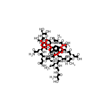 CSCC[C@H](NC(=O)CNC(=O)[C@@H](N)CO)C(=O)N[C@@H](CCC(=O)O)C(=O)N[C@@H](C)C(=O)N[C@@H](CCC(=O)O)C(=O)N[C@@H](CC(=O)O)C(=O)N[C@@H](C)C(=O)N[C@@H](C)C(=O)N[C@H](C(=O)N[C@@H](Cc1ccc(O)cc1)C(=O)N[C@@H](Cc1ccc(O)cc1)C(=O)N[C@@H](CS)C(=O)N[C@@H](CCC(N)=O)C(=O)N[C@@H](CCC(N)=O)C(=O)N[C@@H](Cc1c[nH]c2ccccc12)C(=O)N[C@@H](CO)C(=O)N[C@@H](CO)C(=O)O)[C@@H](C)O